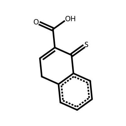 O=C(O)C1=CCc2ccccc2C1=S